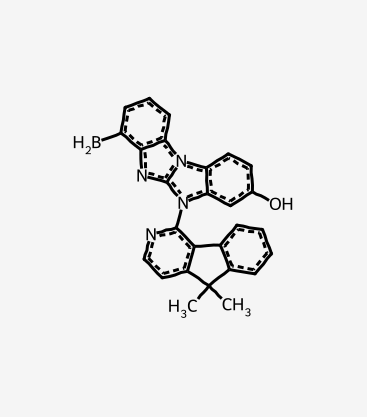 Bc1cccc2c1nc1n(-c3nccc4c3-c3ccccc3C4(C)C)c3cc(O)ccc3n21